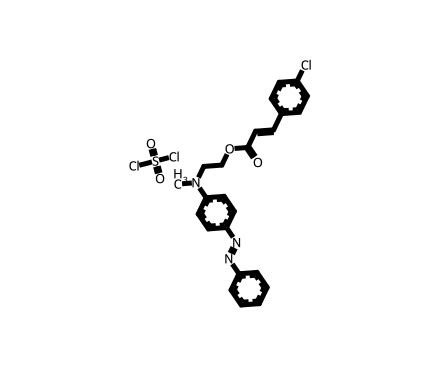 CN(CCOC(=O)C=Cc1ccc(Cl)cc1)c1ccc(N=Nc2ccccc2)cc1.O=S(=O)(Cl)Cl